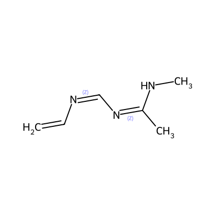 C=C/N=C\N=C(\C)NC